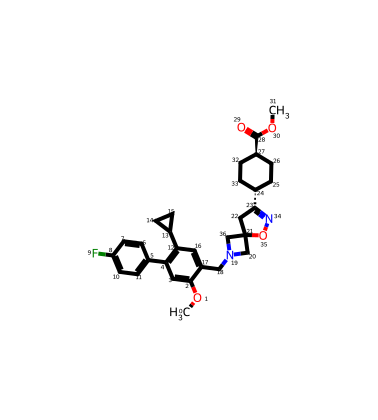 COc1cc(-c2ccc(F)cc2)c(C2CC2)cc1CN1CC2(CC([C@H]3CC[C@H](C(=O)OC)CC3)=NO2)C1